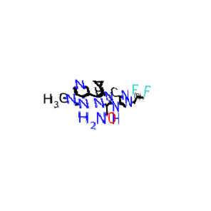 Cc1nn(C[C@@H](F)CF)cc1Nc1nc(C2CC2)c(-c2cncc3c2ncn3C)nc1C(N)=O